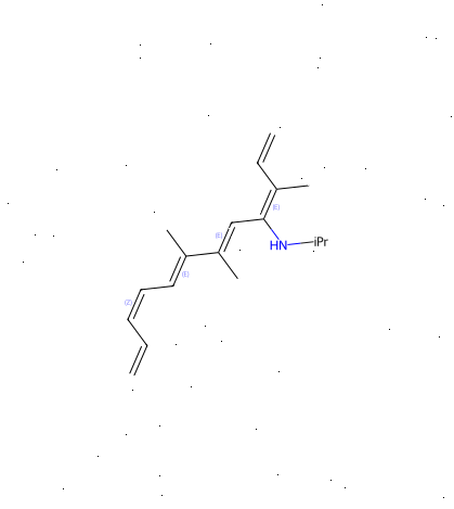 C=C\C=C/C=C(C)/C(C)=C/C(NC(C)C)=C(/C)C=C